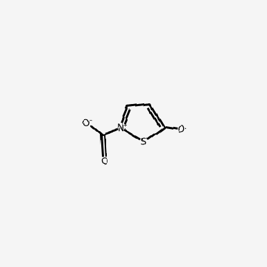 [O]c1cc[n+](C(=O)[O-])s1